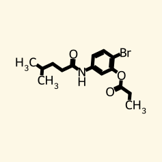 CCC(=O)Oc1cc(NC(=O)CCC(C)C)ccc1Br